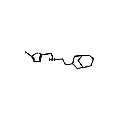 Ic1ccc(CNCCC2CC3CCCC(C3)C2)s1